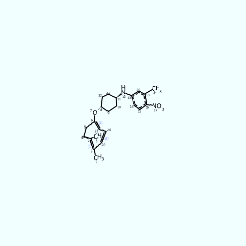 CC1=C(/C)CC/C(O[C@H]2CC[C@H](Nc3ccc([N+](=O)[O-])c(C(F)(F)F)c3)CC2)=C/C=C\1